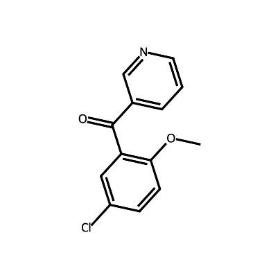 COc1ccc(Cl)cc1C(=O)c1cccnc1